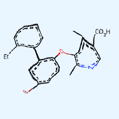 CCc1ccccc1-c1cc(Br)ccc1Oc1c(C)ncc(C(=O)O)c1C